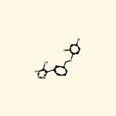 N#Cc1[nH]nnc1-c1cccc(COc2ccc(Br)cc2F)c1